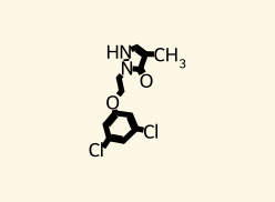 Cc1c[nH]n(CCOc2cc(Cl)cc(Cl)c2)c1=O